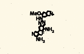 COc1cc2c(cc1Nc1ncc3c(N)c(F)c(-c4cncc(N)c4C)cc3n1)CN(C)CC2